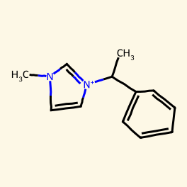 CC(c1ccccc1)[n+]1ccn(C)c1